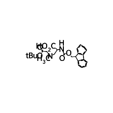 CN(CC(=O)OC(C)(C)C)CC(NC(=O)OCC1c2ccccc2-c2ccccc21)C(=O)O